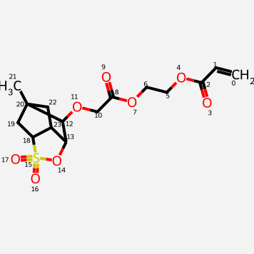 C=CC(=O)OCCOC(=O)COC1C2OS(=O)(=O)C3CC1(C)CC23